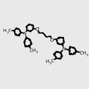 Cc1ccc(N(c2ccc(C)cc2)c2cccc(OCCCCOc3cccc(N(c4ccc(C)cc4)c4ccc(C)cc4)c3)c2)cc1